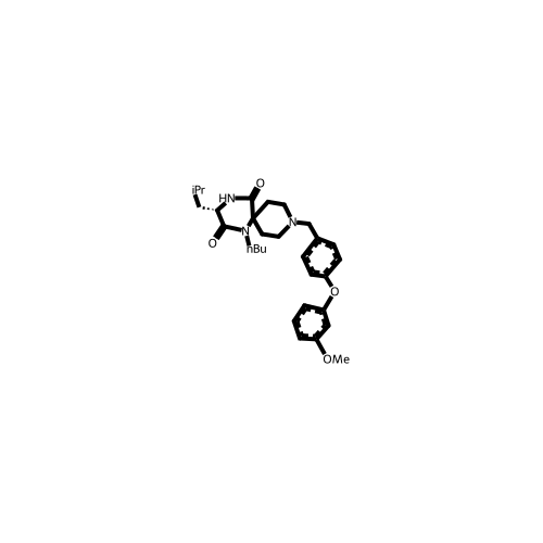 CCCCN1C(=O)[C@H](CC(C)C)NC(=O)C12CCN(Cc1ccc(Oc3cccc(OC)c3)cc1)CC2